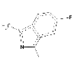 Cn1nc(F)c2cc(F)ccc21